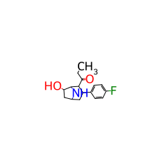 CCC(=O)C1C(c2ccc(F)cc2)CC2CC(O)C1N2